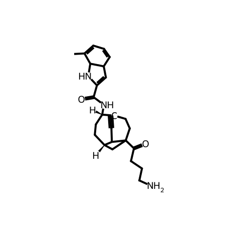 C#CC1[C@H]2CC[C@H](NC(=O)C3=CC4C=CC=C(C)C4N3)CCCC1(C(=O)CCCN)C2